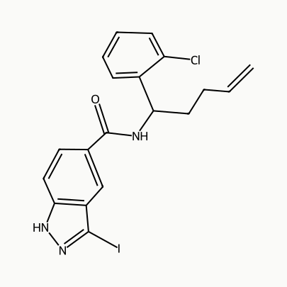 C=CCCC(NC(=O)c1ccc2[nH]nc(I)c2c1)c1ccccc1Cl